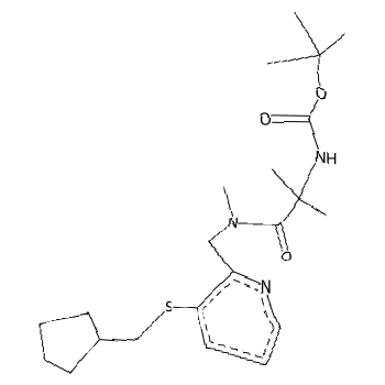 CN(Cc1ncccc1SCC1CCCC1)C(=O)C(C)(C)NC(=O)OC(C)(C)C